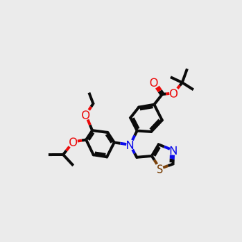 CCOc1cc(N(Cc2cncs2)c2ccc(C(=O)OC(C)(C)C)cc2)ccc1OC(C)C